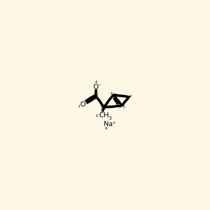 CC1(C(=O)[O-])C2=C1C2.[Na+]